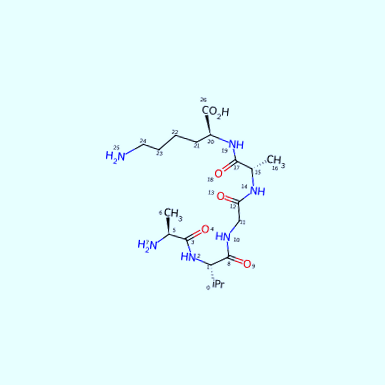 CC(C)[C@H](NC(=O)[C@H](C)N)C(=O)NCC(=O)N[C@@H](C)C(=O)N[C@@H](CCCCN)C(=O)O